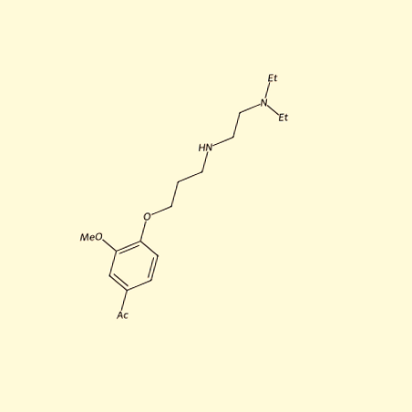 CCN(CC)CCNCCCOc1ccc(C(C)=O)cc1OC